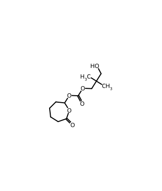 CC(C)(CO)COC(=O)OC1CCCCC(=O)O1